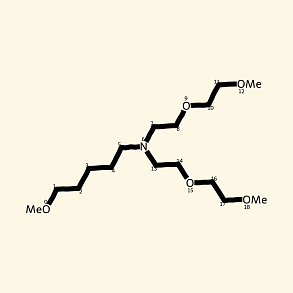 COCCCCCN(CCOCCOC)CCOCCOC